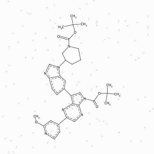 COc1cc(-c2cnc3c(n2)c(-c2ccc4ncn(C5CCCN(C(=O)OC(C)(C)C)C5)c4c2)cn3C(=O)OC(C)(C)C)ccn1